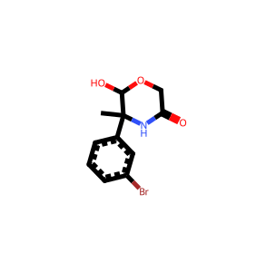 CC1(c2cccc(Br)c2)NC(=O)COC1O